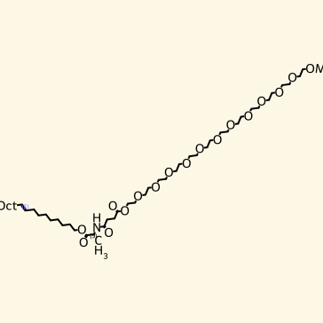 CCCCCCCC/C=C/CCCCCCCCOC(=O)[C@H](C)NC(=O)CCC(=O)OCCOCCOCCOCCOCCOCCOCCOCCOCCOCCOCCOCCOC